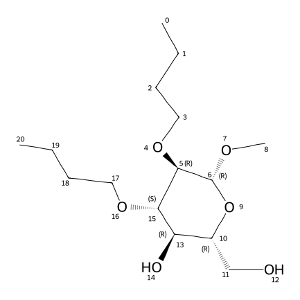 CCCCO[C@H]1[C@H](OC)O[C@H](CO)[C@@H](O)[C@@H]1OCCCC